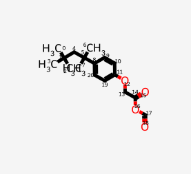 CC(C)(C)CC(C)(C)c1ccc(OCC(=O)OC=O)cc1